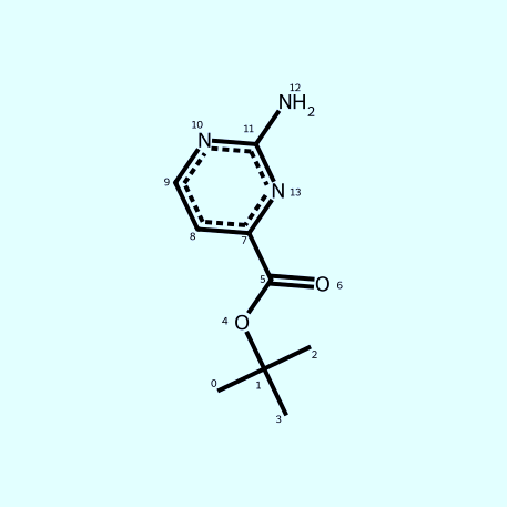 CC(C)(C)OC(=O)c1ccnc(N)n1